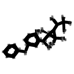 CC1(C)C(C(Br)C(Br)(Br)Br)[C@]1(C(=O)O)[C@@H](C#N)c1cccc(Oc2ccccc2)c1